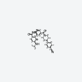 CC(C)Nc1ccc(C(N)=O)c(-c2cc(C(=O)N3CCC(c4ccc(C#N)cc4)CC3)cnn2)n1